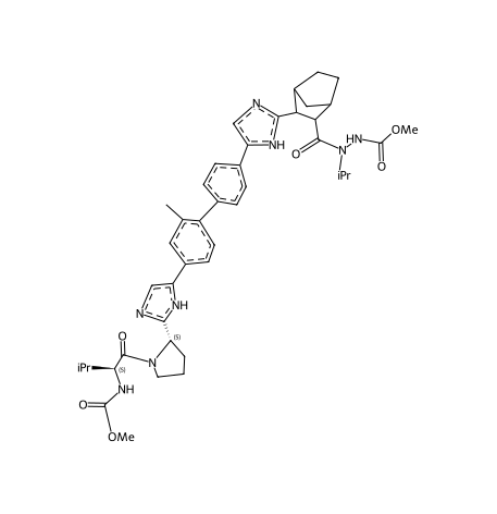 COC(=O)N[C@H](C(=O)N1CCC[C@H]1c1ncc(-c2ccc(-c3ccc(-c4cnc(C5C6CCC(C6)C5C(=O)N(NC(=O)OC)C(C)C)[nH]4)cc3)c(C)c2)[nH]1)C(C)C